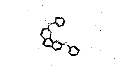 c1ccc(Oc2ccc3ccc4ccc(Oc5ccccc5)nc4c3n2)cc1